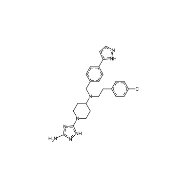 Nc1n[nH]c(N2CCC(N(CCc3ccc(Cl)cc3)Cc3ccc(-c4ccn[nH]4)cc3)CC2)n1